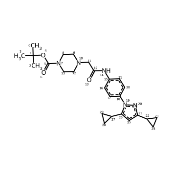 CC(C)(C)OC(=O)N1CCN(CC(=O)Nc2ccc(-n3nc(C4CC4)cc3C3CC3)cc2)CC1